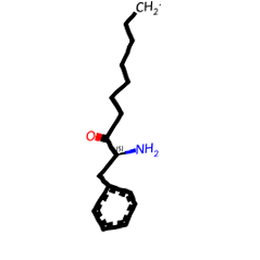 [CH2]CCCCCCC(=O)[C@@H](N)Cc1ccccc1